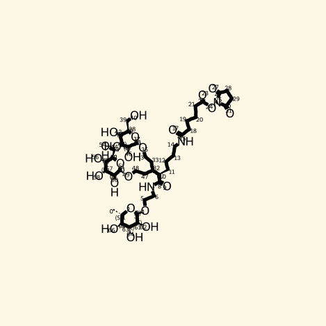 C[C@@H]1O[C@@H](OCCNC(=O)[C@H](CCCCNC(=O)CCCCC(=O)ON2C(=O)CCC2=O)C(CCO[C@H]2O[C@H](CO)[C@@H](O)[C@H](O)[C@@H]2O)CCO[C@H]2O[C@H](CO)[C@@H](O)[C@H](O)[C@@H]2O)[C@@H](O)[C@H](O)[C@@H]1O